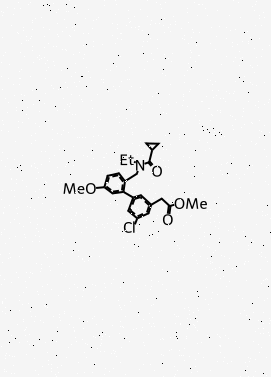 CCN(Cc1ccc(OC)cc1-c1cc(Cl)cc(CC(=O)OC)c1)C(=O)C1CC1